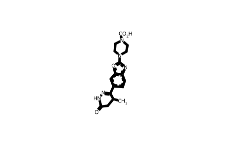 CC1CC(=O)NN=C1c1ccc2nc(N3CCN(C(=O)O)CC3)oc2c1